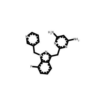 Nc1[c]c(N)nc(Cc2nn(Cc3cccnc3)c3c(F)cccc23)n1